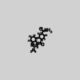 CN(C)CCN(C(=O)c1ccc(C(N)=O)cc1)c1ccccc1N